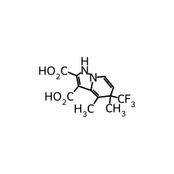 CC1=C2C(C(=O)O)=C(C(=O)O)NN2C=CC1(C)C(F)(F)F